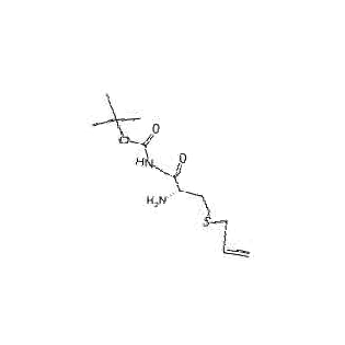 C=CCSC[C@H](N)C(=O)NC(=O)OC(C)(C)C